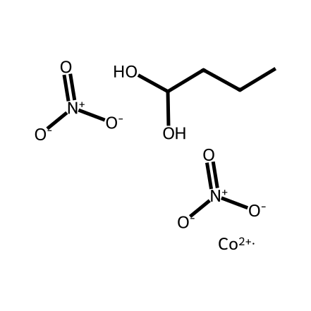 CCCC(O)O.O=[N+]([O-])[O-].O=[N+]([O-])[O-].[Co+2]